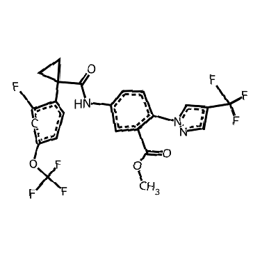 COC(=O)c1cc(NC(=O)C2(c3ccc(OC(F)(F)F)cc3F)CC2)ccc1-n1cc(C(F)(F)F)cn1